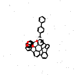 c1ccc(-c2ccc(-c3nc(-c4ccccc4)nc(-c4cccc5c4C4(c6ccccc6-5)c5ccccc5C5(c6ccccc6)c6ccccc6-c6cccc4c65)n3)cc2)cc1